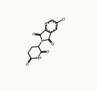 O=C1CCC(N2C(=O)c3cc(Cl)cnc3C2=O)C(=O)N1